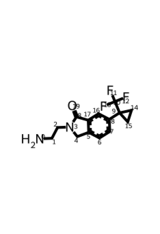 NCCN1Cc2ccc(C3(C(F)(F)F)CC3)cc2C1=O